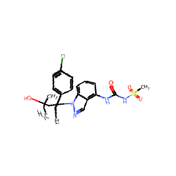 CCC(c1ccc(Cl)cc1)(n1ncc2c(NC(=O)NS(C)(=O)=O)cccc21)C(C)(C)O